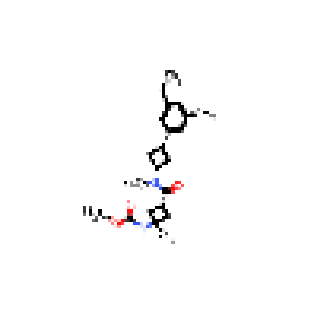 CCc1cc(C)cc([C@H]2C[C@@H](N(C)C(=O)[C@H]3C[C@@](C)(NC(=O)OC)C3)C2)c1